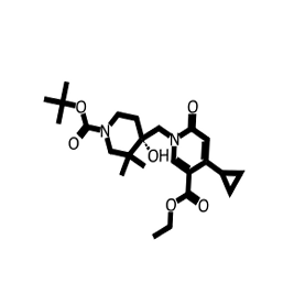 CCOC(=O)c1cn(C[C@]2(O)CCN(C(=O)OC(C)(C)C)CC2(C)C)c(=O)cc1C1CC1